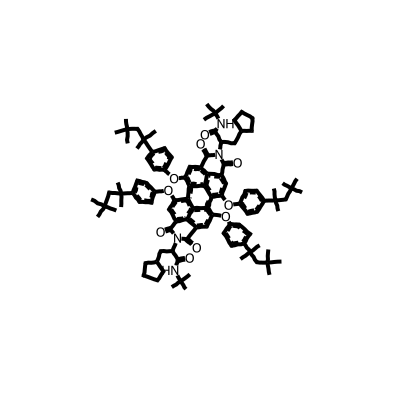 CC(C)(C)CC(C)(C)c1ccc(Oc2cc3c4c(cc(Oc5ccc(C(C)(C)CC(C)(C)C)cc5)c5c6c(Oc7ccc(C(C)(C)CC(C)(C)C)cc7)cc7c8c(cc(Oc9ccc(C(C)(C)CC(C)(C)C)cc9)c(c2c45)c86)C(=O)N(C(CC2CCCC2)C(=O)NC(C)(C)C)C7=O)C(=O)N(C(CC2CCCC2)C(=O)NC(C)(C)C)C3=O)cc1